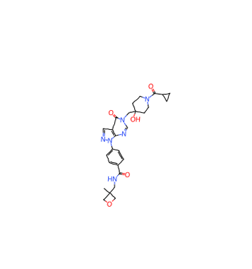 CC1(CNC(=O)c2ccc(-n3ncc4c(=O)n(CC5(O)CCN(C(=O)C6CC6)CC5)cnc43)cc2)COC1